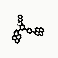 c1ccc2cc3c(cc2c1)oc1c(-c2ccc4ccc5cccc6ccc2c4c56)cc(-c2ccc(-c4ccc5ccc6cccc7ccc4c5c67)cc2)cc13